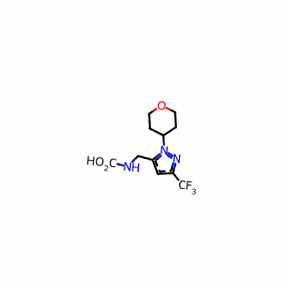 O=C(O)NCc1cc(C(F)(F)F)nn1C1CCOCC1